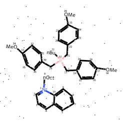 CCCCCCCC[n+]1cccc2ccccc21.CCCC[B-](Cc1ccc(OC)cc1)(Cc1ccc(OC)cc1)Cc1ccc(OC)cc1